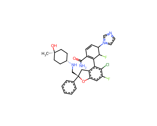 C[C@]1(O)CC[C@H](NC[C@@]2(c3ccccc3)Cc3c(cc(F)c(Cl)c3C3=C(C(N)=O)C=CC(n4ccnc4)C3F)O2)CC1